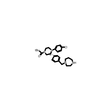 CC(C)(C)C(=O)N1CCN(c2ccc(Cl)cc2)[C@H](c2ccc(CN3CCCNCC3)cc2)C1